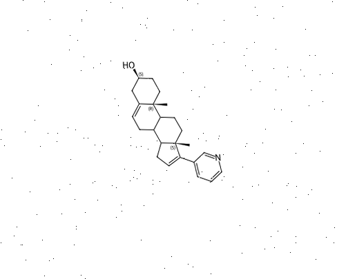 C[C@]12CC[C@H](O)CC1=CCC1C2CC[C@]2(C)C(c3cccnc3)=CCC12